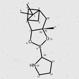 CC1(C)C23CC1(C2)C1OB(C2CCCN2)O[C@@]1(C)C3